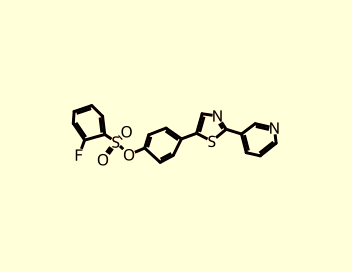 O=S(=O)(Oc1ccc(-c2cnc(-c3cccnc3)s2)cc1)c1ccccc1F